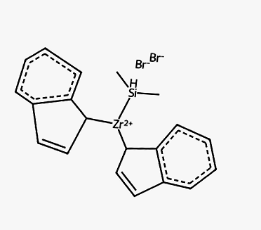 C[SiH](C)[Zr+2]([CH]1C=Cc2ccccc21)[CH]1C=Cc2ccccc21.[Br-].[Br-]